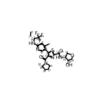 CC[C@@H](Nc1cc(C)c(-c2sc(C(=O)N[C@H]3COC[C@@H]3O)nc2C(=O)N2CCC[C@@H]2C)cn1)C(F)(F)F